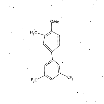 COc1ccc(-c2cc(C(F)(F)F)cc(C(F)(F)F)c2)cc1C